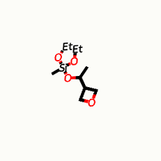 CCO[Si](C)(OCC)OC(C)C1COC1